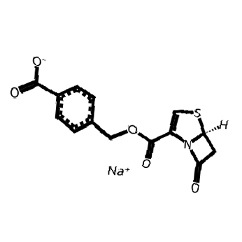 O=C(OCc1ccc(C(=O)[O-])cc1)C1=CS[C@H]2CC(=O)N12.[Na+]